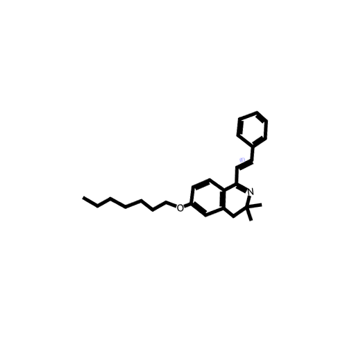 CCCCCCCOc1ccc2c(c1)CC(C)(C)N=C2/C=C/c1ccccc1